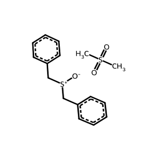 CS(C)(=O)=O.[O-][S+](Cc1ccccc1)Cc1ccccc1